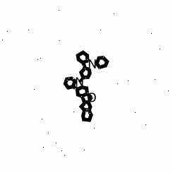 c1ccc(-n2c3ccccc3c3cc(-n4c5ccccc5c5cc6c(cc54)oc4cc5ccccc5cc46)ccc32)cc1